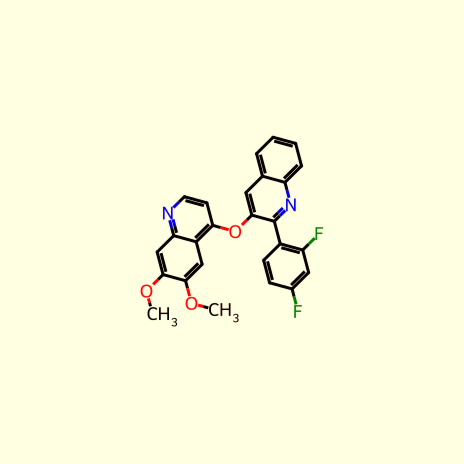 COc1cc2nccc(Oc3cc4ccccc4nc3-c3ccc(F)cc3F)c2cc1OC